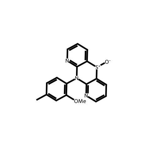 COc1cc(C)ccc1N1c2ncccc2[S+]([O-])c2cccnc21